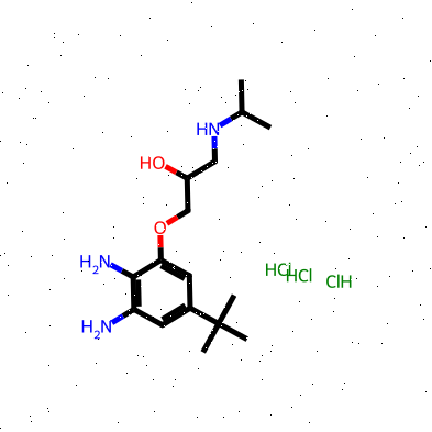 CC(C)NCC(O)COc1cc(C(C)(C)C)cc(N)c1N.Cl.Cl.Cl